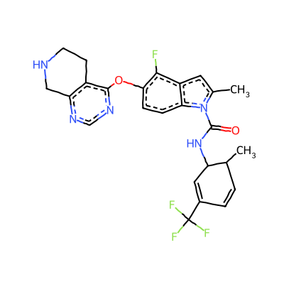 Cc1cc2c(F)c(Oc3ncnc4c3CCNC4)ccc2n1C(=O)NC1C=C(C(F)(F)F)C=CC1C